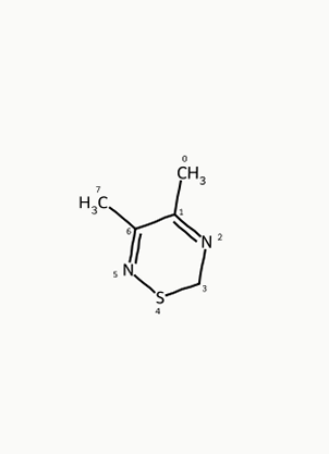 CC1=NCSN=C1C